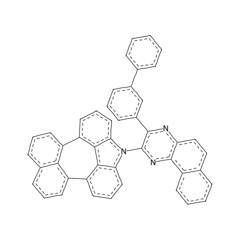 c1ccc(-c2cccc(-c3nc4ccc5ccccc5c4nc3-n3c4cccc5c4c4c(cccc43)-c3cccc4cccc-5c34)c2)cc1